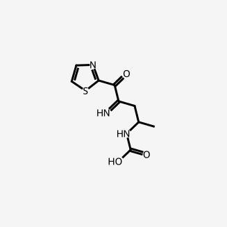 CC(CC(=N)C(=O)c1nccs1)NC(=O)O